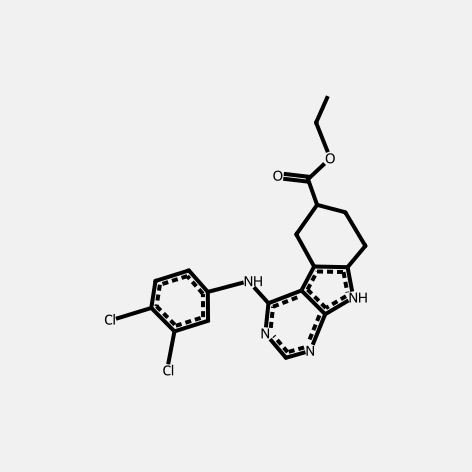 CCOC(=O)C1CCc2[nH]c3ncnc(Nc4ccc(Cl)c(Cl)c4)c3c2C1